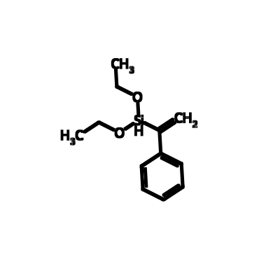 C=C(c1ccccc1)[SiH](OCC)OCC